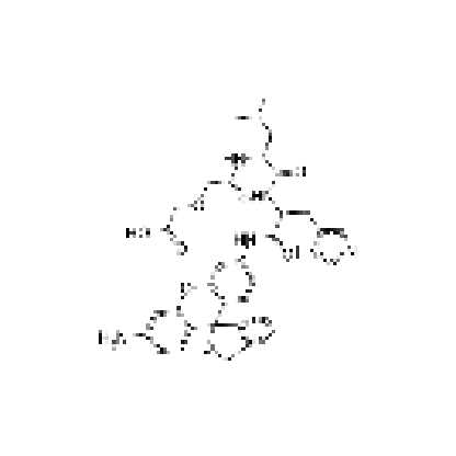 CC(C)C[C@H](NC(=O)COCC(=O)O)C(=O)N[C@@H](Cc1cnc[nH]1)C(=O)Nc1ccc2c(c1)Oc1cc(N)ccc1C21OCc2ccccc21